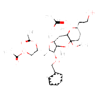 COC12CC[C@H](CCO)O[C@@H]1[C@@H](OC(C)=O)[C@@H]1O[C@H](C[C@H](COC(C)=O)OC(C)=O)[C@H](OCc3ccccc3)[C@@H]1O2